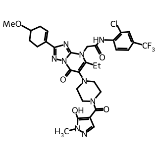 CCc1c(N2CCN(C(=O)c3cnn(C)c3O)CC2)c(=O)n2nc(C3=CCC(OC)CC3)nc2n1CC(=O)Nc1ccc(C(F)(F)F)cc1Cl